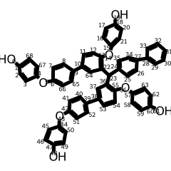 Oc1ccc(Oc2ccc(-c3ccc(Oc4ccc(O)cc4)c(C(c4ccc(-c5ccccc5)cc4)c4cc(-c5ccc(Oc6ccc(O)cc6)cc5)ccc4Oc4ccc(O)cc4)c3)cc2)cc1